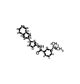 CN(C)c1cccc(C(=O)Nc2ccc(-c3nc4cnccc4s3)s2)c1